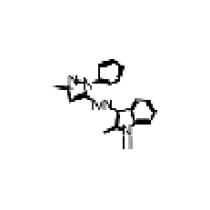 Cc1cc(N=Nc2c(C)[nH]c3ccccc23)n(-c2ccccc2)n1